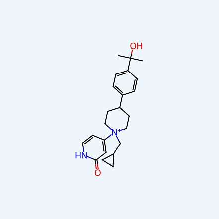 CC(C)(O)c1ccc(C2CC[N+](CC3CC3)(c3cc[nH]c(=O)c3)CC2)cc1